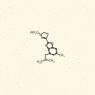 Cc1cc(CN(C)C)c2nc(C3=N[C@@H](C(=O)O)CS3)sc2c1